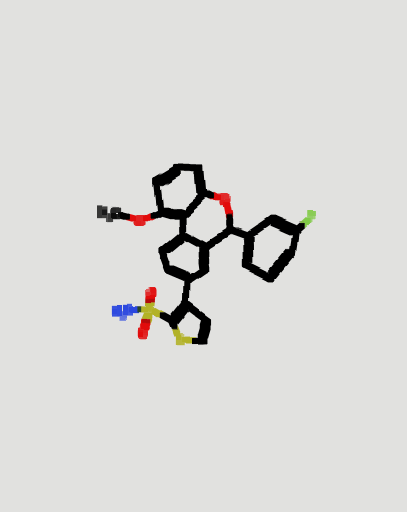 COc1cccc2c1-c1ccc(-c3ccsc3S(N)(=O)=O)cc1C(c1cccc(F)c1)O2